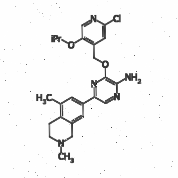 Cc1cc(-c2cnc(N)c(OCc3cc(Cl)ncc3OC(C)C)n2)cc2c1CCN(C)C2